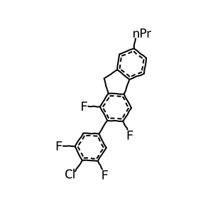 CCCc1ccc2c(c1)Cc1c-2cc(F)c(-c2cc(F)c(Cl)c(F)c2)c1F